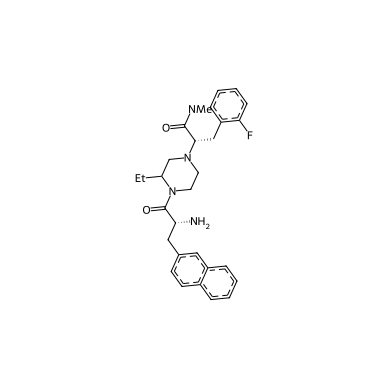 CCC1CN([C@@H](Cc2ccccc2F)C(=O)NC)CCN1C(=O)[C@H](N)Cc1ccc2ccccc2c1